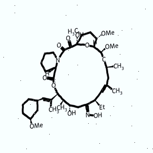 CC[C@@H]1/C=C(\C)C[C@H](C)C[C@H](OC)[C@H]2O[C@@](O)(C(=O)C(=O)N3CCCC[C@H]3C(=O)O[C@H](/C(C)=C/[C@@H]3CCC[C@H](OC)C3)[C@H](C)[C@@H](O)C/C1=N/O)[C@H](C)C[C@@H]2OC